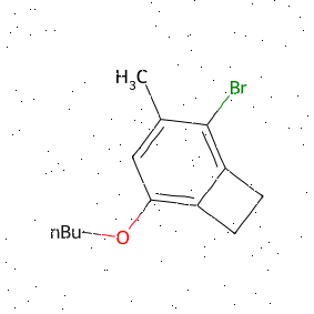 CCCCOc1cc(C)c(Br)c2c1CC2